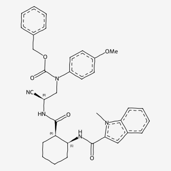 COc1ccc(N(C[C@H](C#N)NC(=O)[C@@H]2CCCC[C@@H]2NC(=O)c2cc3ccccc3n2C)C(=O)OCc2ccccc2)cc1